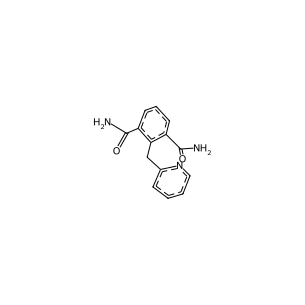 NC(=O)c1cccc(C(N)=O)c1Cc1ccccn1